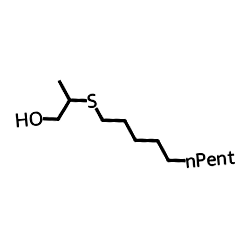 CCCCCCCCCCSC(C)CO